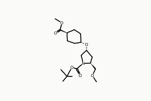 COC[C@@H]1C[C@@H](O[C@H]2CC[C@H](C(=O)OC)CC2)CN1C(=O)OC(C)(C)C